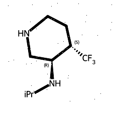 CC(C)N[C@H]1CNCC[C@@H]1C(F)(F)F